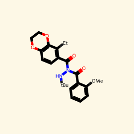 CCc1c(C(=O)N(NC(C)(C)C)C(=O)c2ccccc2OC)ccc2c1OCCO2